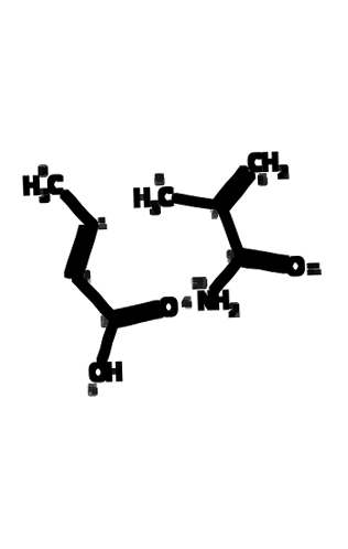 C/C=C/C(=O)O.C=C(C)C(N)=O